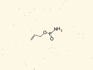 C=CCO[P](N)=O